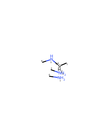 CN.CN.CN[SiH2]C